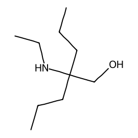 CCCC(CO)(CCC)NCC